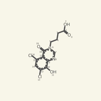 O=C(O)CCCn1cnc2c(O)c(Cl)cc(Cl)c2c1=O